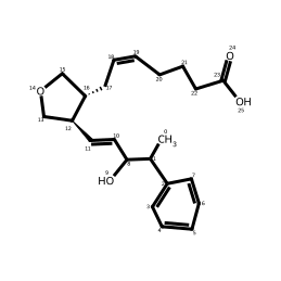 CC(c1ccccc1)C(O)/C=C/[C@H]1COC[C@@H]1C/C=C\CCCC(=O)O